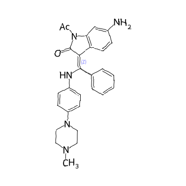 CC(=O)N1C(=O)/C(=C(\Nc2ccc(N3CCN(C)CC3)cc2)c2ccccc2)c2ccc(N)cc21